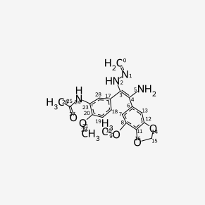 C=NN/C(=C(\N)c1cc(OC)c2c(c1)OCO2)c1ccc(OC)c(NC(C)=O)c1